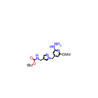 COc1cc(Cn2cc(CNC(=O)OC(C)(C)C)cn2)cc(NN)n1